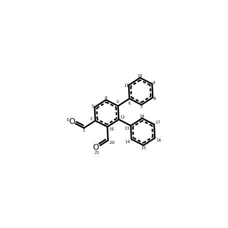 O=Cc1ccc(-c2ccccc2)c(-c2ccccc2)c1C=O